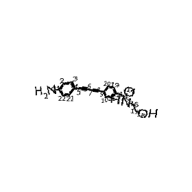 Nc1ccc(C#CC#Cc2ccc(C(=O)NCCO)cc2)cc1